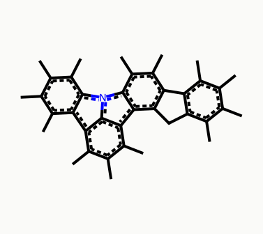 Cc1c(C)c(C)c2c(c1C)Cc1c-2c(C)c(C)c2c1c1c(C)c(C)c(C)c3c4c(C)c(C)c(C)c(C)c4n2c31